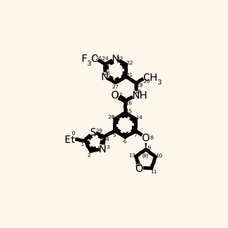 CCc1cnc(-c2cc(O[C@@H]3CCOC3)cc(C(=O)NC(C)c3cnc(C(F)(F)F)nc3)c2)s1